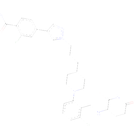 NC(=O)c1ccc(-c2cnn(CCCC3CCN(c4cccc(Br)c4CNC4CCC(=O)NC4=O)CC3)c2)cc1F